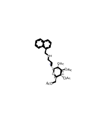 CC(=O)OC[C@H]1O[C@H](/C=C/CNCc2cccc3ccccc23)[C@H](OC(C)=O)[C@@H](OC(C)=O)[C@@H]1OC(C)=O